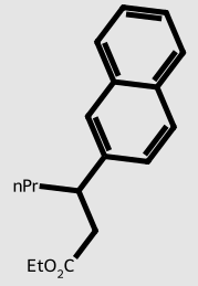 CCCC(CC(=O)OCC)c1ccc2ccccc2c1